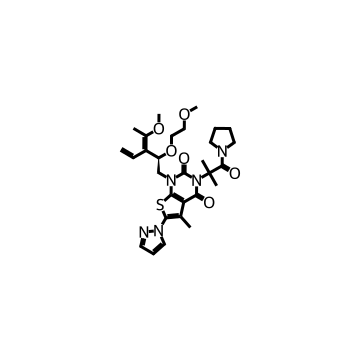 C=C/C(=C(\C)OC)[C@H](Cn1c(=O)n(C(C)(C)C(=O)N2CCCC2)c(=O)c2c(C)c(-n3cccn3)sc21)OCCOC